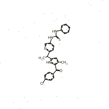 Cc1cc(C(C)c2ccc(NC(=S)Nc3ccccc3)cn2)[nH]c1C(=O)c1ccc(Cl)cc1